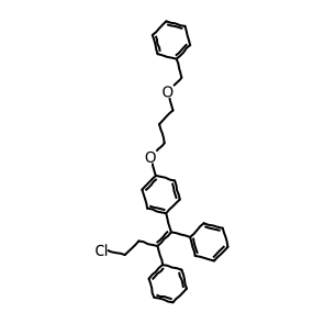 ClCCC(=C(c1ccccc1)c1ccc(OCCCOCc2ccccc2)cc1)c1ccccc1